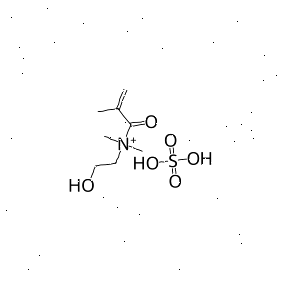 C=C(C)C(=O)[N+](C)(C)CCO.O=S(=O)(O)O